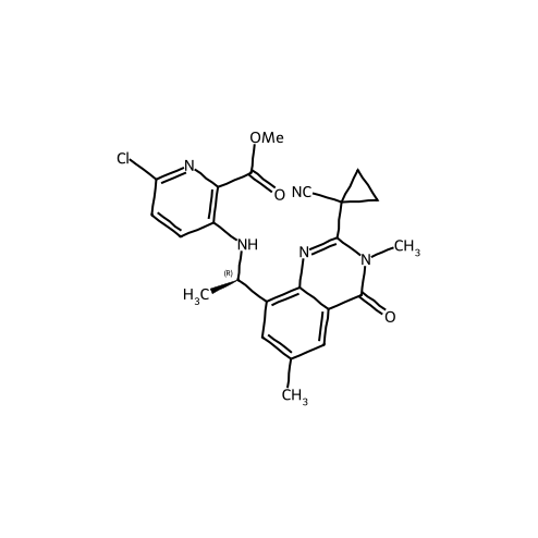 COC(=O)c1nc(Cl)ccc1N[C@H](C)c1cc(C)cc2c(=O)n(C)c(C3(C#N)CC3)nc12